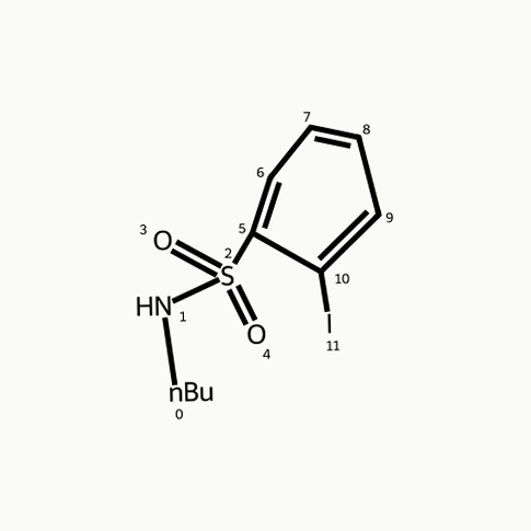 CCCCNS(=O)(=O)c1ccccc1I